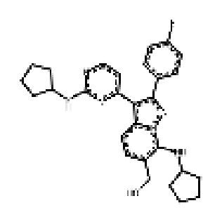 OCc1ccc2c(-c3ccnc(NC4CCCC4)n3)c(-c3ccc(F)cc3)nn2c1NC1CCCC1